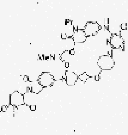 CNC(=O)COc1cc2cc(Nc3nc(N4CCC(OC5CC6(CCN(c7ccc8c(c7)CN(C7CCC(=O)NC7=O)C8=O)CC6)C5)CC4)ncc3Cl)ccc2n(C(C)C)c1=O